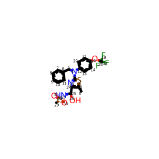 Cc1sc(N(Cc2ccccc2)c2ccc(OC(F)(F)F)cc2)nc1C(O)NS(C)(=O)=O